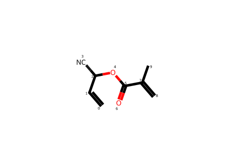 C=CC(C#N)OC(=O)C(=C)C